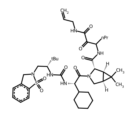 C=CCNC(=O)C(=O)C(CCC)NC(=O)[C@@H]1[C@@H]2[C@H](CN1C(=O)[C@@H](NC(=O)N[C@H](CN1Cc3ccccc3S1(=O)=O)C(C)(C)C)C1CCCCC1)C2(C)C